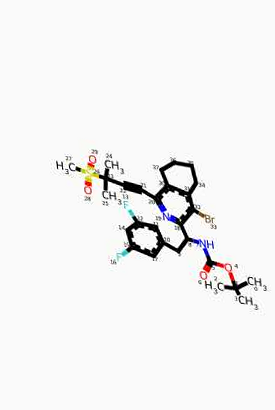 CC(C)(C)OC(=O)NC(Cc1cc(F)cc(F)c1)c1nc(C#CC(C)(C)S(C)(=O)=O)c2c(c1Br)CCCC2